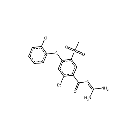 CCc1cc(Sc2ccccc2Cl)c(S(C)(=O)=O)cc1C(=O)N=C(N)N